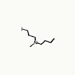 CCCCN(C)CCCI